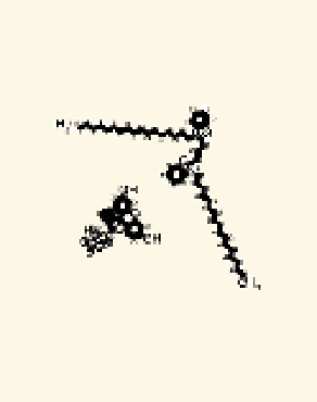 CCCCCCCCCCCCCCCCCCN1C(=CC=Cc2oc3ccccc3[n+]2CCCCCCCCCCCCCCCCCC)Oc2ccccc21.N=C=S.O=C1OC2(c3ccc(O)cc3Oc3cc(O)ccc32)c2ccccc21.[O-][Cl+3]([O-])([O-])[O-]